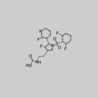 O=C(O)NCCc1cn(S(=O)(=O)c2c(F)cccc2F)c(-c2cccnc2F)c1F